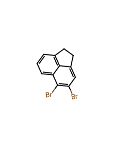 Brc1cc2c3c(cccc3c1Br)CC2